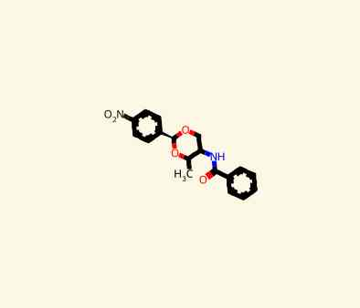 CC1O[C@@H](c2ccc([N+](=O)[O-])cc2)OCC1NC(=O)c1ccccc1